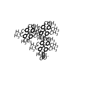 Cc1cc(C)cc([P+](c2cc(C)cc(C)c2)(c2cc(C)cc(C)c2)c2cc(C)cc(C)c2)c1.Cc1cc(C)cc([P+](c2cc(C)cc(C)c2)(c2cc(C)cc(C)c2)c2cc(C)cc(C)c2)c1.Cc1cc(C)cc([P+](c2cc(C)cc(C)c2)(c2cc(C)cc(C)c2)c2cc(C)cc(C)c2)c1.[O-]B([O-])[O-]